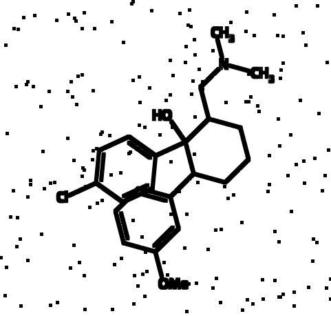 COc1cccc(C2CCCC(CN(C)C)C2(O)c2ccc(Cl)cc2)c1